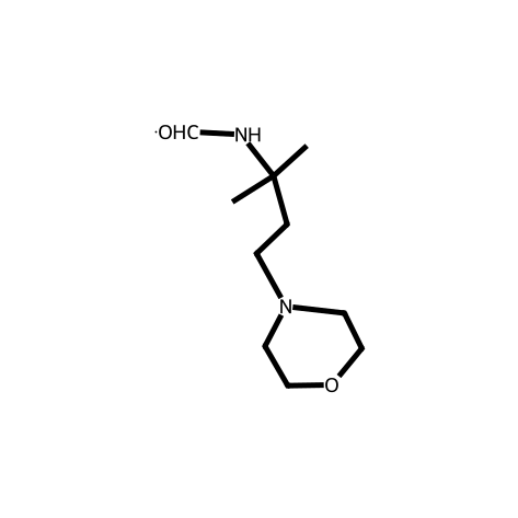 CC(C)(CCN1CCOCC1)N[C]=O